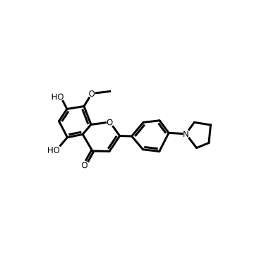 COc1c(O)cc(O)c2c(=O)cc(-c3ccc(N4CCCC4)cc3)oc12